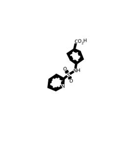 O=C(O)c1ccc(NS(=O)(=O)c2ccccn2)cc1